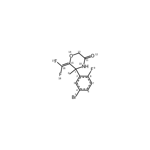 CC1(c2cc(Br)ccc2F)NC(=O)COC1=C(F)F